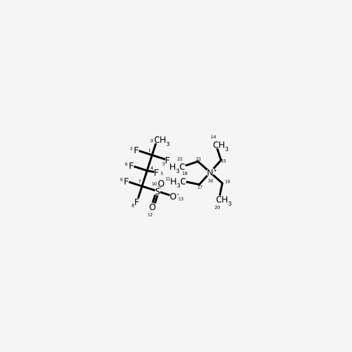 CC(F)(F)C(F)(F)C(F)(F)S(=O)(=O)[O-].CC[N+](CC)(CC)CC